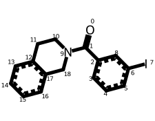 O=C(c1cccc(I)c1)N1CCc2ccccc2C1